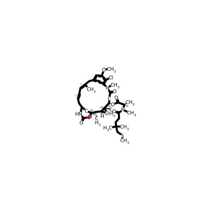 COc1cc2cc(c1Cl)N(C)C(=O)C[C@H](OC(=O)[C@H](C)N(C)C(=O)CCC(C)(C)CSC)[C@]1(C)O[C@H]1[C@H](C)[C@@H]1CC(C/C=C/C=C(\C)C2)NC(=O)O1